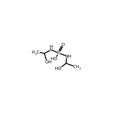 CC(O)NP(=O)(O)NC(C)O